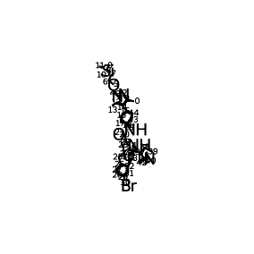 Cc1nn(COCC[Si](C)(C)C)c(C)c1-c1ccc(NC(=O)[C@H](CCCc2ccc(Br)cc2F)NC(=O)C2CC=NN2C)cc1